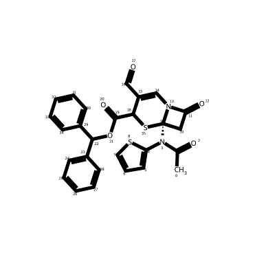 CC(=O)N(c1cccs1)[C@@]12CC(=O)N1C=C(C=O)C(C(=O)OC(c1ccccc1)c1ccccc1)S2